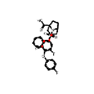 O=C(O)C12CCC(CN(Cc3ccccc3)C1)N2S(=O)(=O)c1cc(F)c(Oc2ccc(F)cc2)c(F)c1